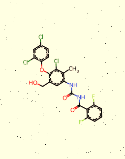 Cc1c(NC(=O)NC(=O)c2c(F)cccc2F)cc(CO)c(Oc2ccc(Cl)cc2Cl)c1Cl